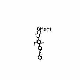 CCCCCCCC1CCC2CC(c3cc(F)c(-c4ccc(OCc5ccccc5)cc4)c(F)c3)CCC2C1